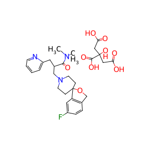 CN(C)C(=O)C(Cc1ccccn1)CN1CCC2(CC1)OCc1ccc(F)cc12.O=C(O)CC(O)(CC(=O)O)C(=O)O